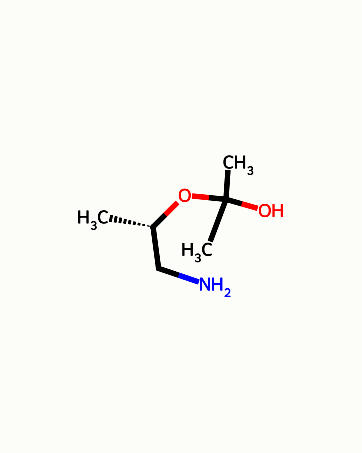 C[C@@H](CN)OC(C)(C)O